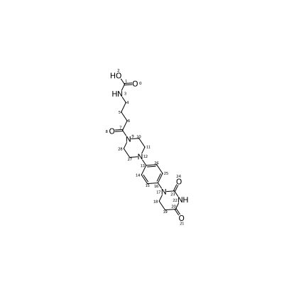 O=C(O)NCCCC(=O)N1CCN(c2ccc(N3CCC(=O)NC3=O)cc2)CC1